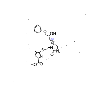 CN1C[C@H](/C=C/C(O)COc2ccccc2)N(CCSc2nc(C(=O)O)cs2)C1=O